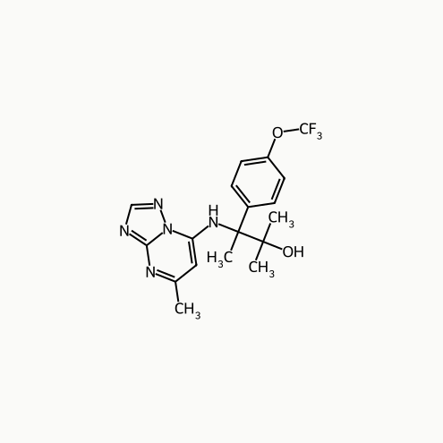 Cc1cc(NC(C)(c2ccc(OC(F)(F)F)cc2)C(C)(C)O)n2ncnc2n1